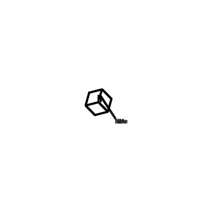 CNC1=C2C3CC(C1)CC2C3